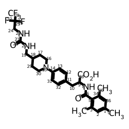 Cc1cc(C)c(C(=O)NC(Cc2ccc(N3CCC(CNC(=O)NCC(F)(F)C(F)(F)F)CC3)cc2)C(=O)O)c(C)c1